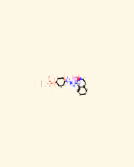 O=S(=O)(O)c1ccc(N/N=C2/c3ccccc3C=CC2O)cc1